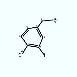 Clc1ccc(CBr)cc1I